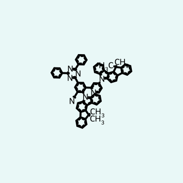 CC1(C)c2ccccc2-c2ccc3c(c21)c1ccccc1n3-c1ccnc(-c2cc(-c3nc(-c4ccccc4)nc(-c4ccccc4)n3)cc(C#N)c2-n2c3ccccc3c3c4c(ccc32)-c2ccccc2C4(C)C)c1